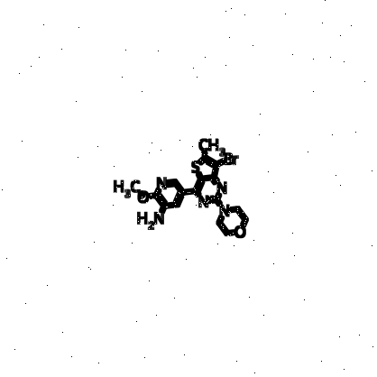 COc1ncc(-c2nc(N3CCOCC3)nc3c(Br)c(C)sc23)cc1N